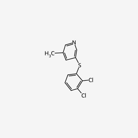 Cc1cncc(Sc2cccc(Cl)c2Cl)c1